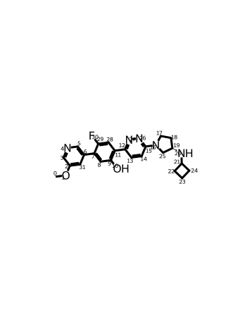 COc1cncc(-c2cc(O)c(-c3ccc(N4CC[C@H](NC5CCC5)C4)nn3)cc2F)c1